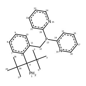 CC(C)(C)C(P)(c1ccccc1CP(c1ccccn1)c1ccccn1)C(C)(C)C